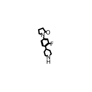 O=C1CCCN1c1ccc(C2CCNCC2)c(F)c1